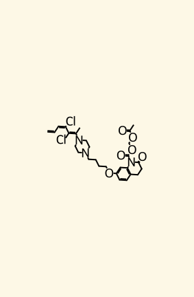 C=C/C=C(Cl)\C(Cl)=C(/C)N1CCN(CCCCOc2ccc3c(c2)N(C(=O)OCOC(C)=O)C(=O)CC3)CC1